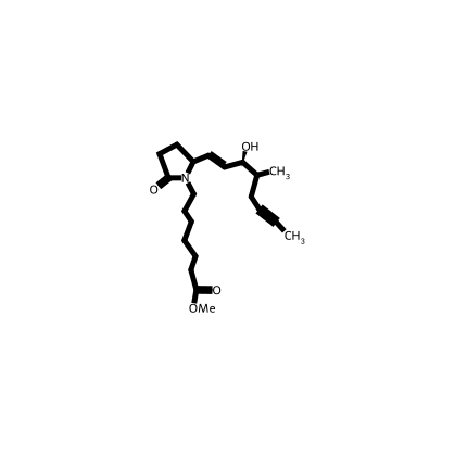 CC#CCC(C)[C@H](O)/C=C/C1CCC(=O)N1CCCCCCC(=O)OC